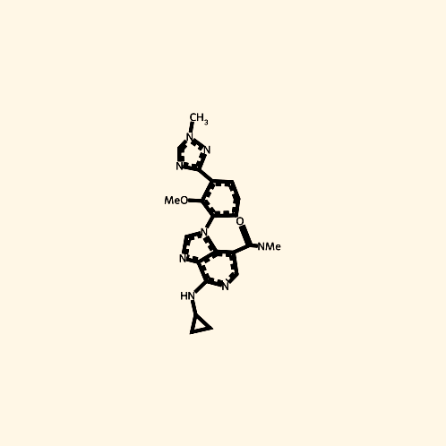 CNC(=O)c1cnc(NC2CC2)c2ncn(-c3cccc(-c4ncn(C)n4)c3OC)c12